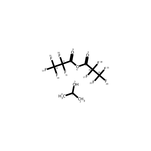 CC(C)O.O=C(OC(=O)C(F)(F)C(F)(F)F)C(F)(F)C(F)(F)F